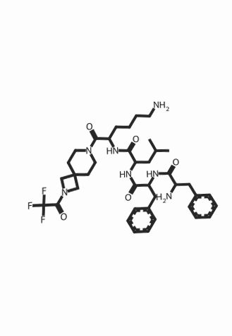 CC(C)CC(NC(=O)C(Cc1ccccc1)NC(=O)C(N)Cc1ccccc1)C(=O)NC(CCCCN)C(=O)N1CCC2(CC1)CN(C(=O)C(F)(F)F)C2